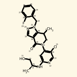 CC1CN(c2cc(N[C@@H](C)CO)ncc2Cl)C(=O)c2cnn(Cc3ccccc3F)c21